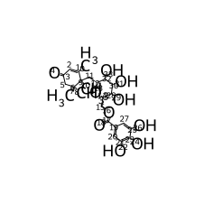 CC1=CC(=O)CC(C)(C)[C@@]1(C)C[C@@H]1O[C@H](COC(=O)c2cc(O)c(O)c(O)c2)[C@@H](O)[C@H](O)[C@H]1O